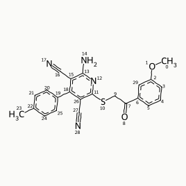 COc1cccc(C(=O)CSc2nc(N)c(C#N)c(-c3ccc(C)cc3)c2C#N)c1